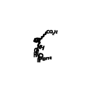 CCCCCC(=O)NCC(=O)NCCC1C2CCC(O2)C1CCCCCCC(=O)O